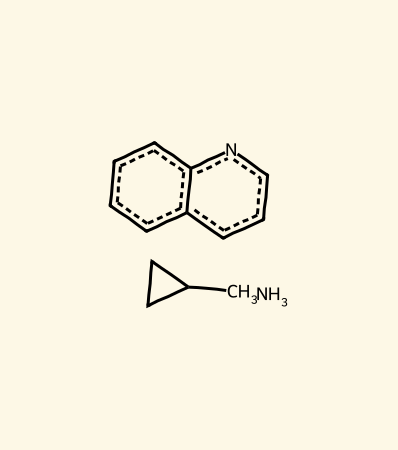 CC1CC1.N.c1ccc2ncccc2c1